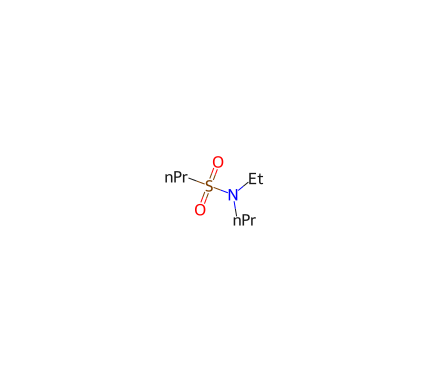 CCCN(CC)S(=O)(=O)CCC